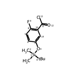 CC(C)(C)[Si](C)(C)Oc1ccc(F)c(C(=O)Cl)c1